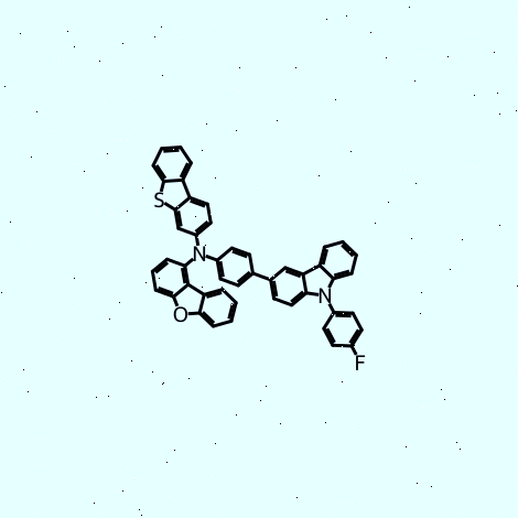 Fc1ccc(-n2c3ccccc3c3cc(-c4ccc(N(c5ccc6c(c5)sc5ccccc56)c5cccc6oc7ccccc7c56)cc4)ccc32)cc1